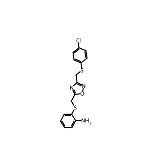 Nc1ccccc1SCc1nc(CSc2ccc(Cl)cc2)no1